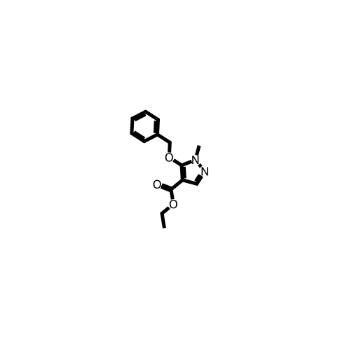 CCOC(=O)c1cnn(C)c1OCc1ccccc1